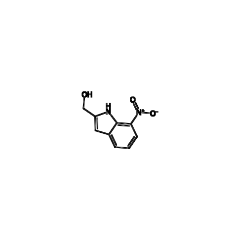 O=[N+]([O-])c1cccc2cc(CO)[nH]c12